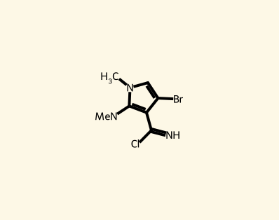 CNc1c(C(=N)Cl)c(Br)cn1C